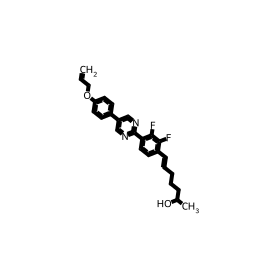 C=CCOc1ccc(-c2cnc(-c3ccc(/C=C/CCCC(C)O)c(F)c3F)nc2)cc1